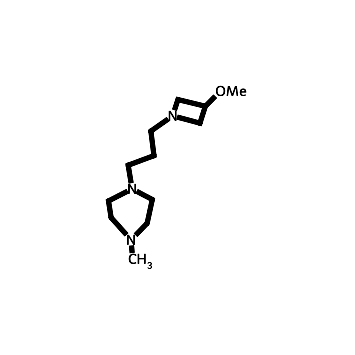 COC1CN(CCCN2CCN(C)CC2)C1